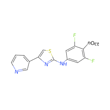 CCCCCCCCc1c(F)cc(Nc2nc(-c3cccnc3)cs2)cc1F